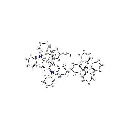 CC1C[C@H]2CCC[C@H](C1)C21c2ccccc2-n2c3ccccc3c3cc(N(c4ccccc4)c4ccc(-c5ccc([Si](c6ccccc6)(c6ccccc6)c6ccccc6)cc5)cc4)cc1c32